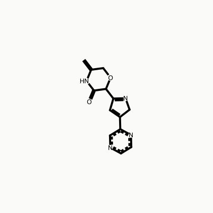 C=C1COC(C2=NCC(c3cnccn3)=C2)C(=O)N1